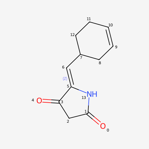 O=C1CC(=O)/C(=C/C2CC=CCC2)N1